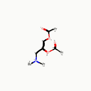 CCC(C)N(CC(COC(=O)C(C)C)OC(=O)C(C)C)C(C)C